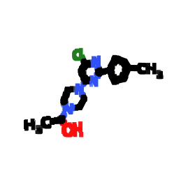 Cc1ccc(-c2nc(Cl)cc(N3CCN(C(C)O)CC3)n2)cc1